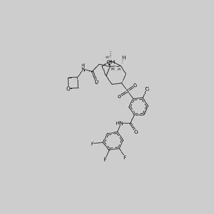 C[C@H]1CC2CC(S(=O)(=O)c3cc(C(=O)Nc4cc(F)c(F)c(F)c4)ccc3Cl)C[C@H]1[C@@]2(O)CC(=O)NC1COC1